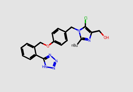 CCCCc1nc(CO)c(Cl)n1Cc1ccc(OCc2ccccc2-c2nnn[nH]2)cc1